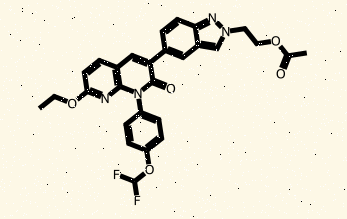 CCOc1ccc2cc(-c3ccc4nn(CCOC(C)=O)cc4c3)c(=O)n(-c3ccc(OC(F)F)cc3)c2n1